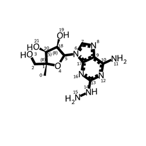 C[C@]1(CO)OC(n2cnc3c(N)nc(NN)nc32)[C@H](O)[C@@H]1O